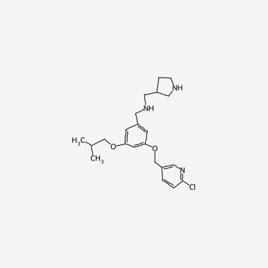 CC(C)COc1cc(CNCC2CCNC2)cc(OCc2ccc(Cl)nc2)c1